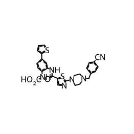 N#Cc1ccc(CN2CCN(c3ncc(C(=O)Nc4cc(-c5cccs5)ccc4NC(=O)O)s3)CC2)cc1